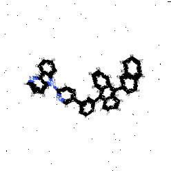 c1cc(-c2ccc(-n3c4ccccc4c4ncccc43)nc2)cc(-c2c3ccccc3c(-c3ccc4ccccc4c3)c3ccccc23)c1